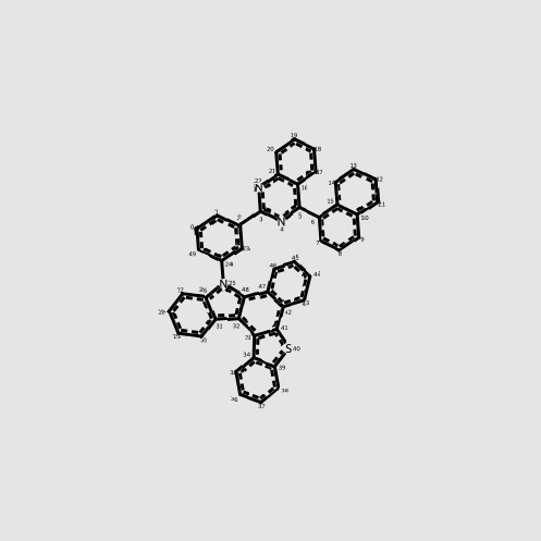 c1cc(-c2nc(-c3cccc4ccccc34)c3ccccc3n2)cc(-n2c3ccccc3c3c4c5ccccc5sc4c4ccccc4c32)c1